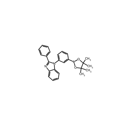 CC1(C)OB(c2cccc(-n3c(-c4ccccc4)nc4ccccc43)c2)OC1(C)C